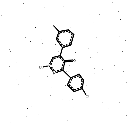 CCn1cc(-c2cccc(C)c2)c(=O)c(-c2ccc(Cl)cc2)n1